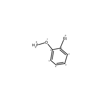 CCc1ccccc1OP